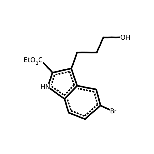 CCOC(=O)c1[nH]c2ccc(Br)cc2c1CCCO